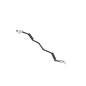 CC=C[CH]C/C=C/C